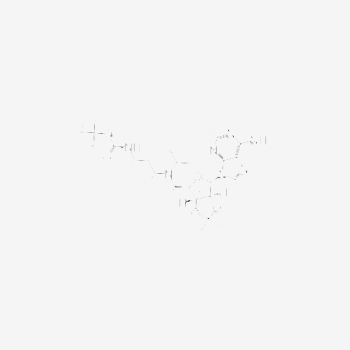 CC(C)N(CCCNC(=O)OC(C)(C)C)C[C@H]1O[C@@H](n2cnc3c(N)ncnc32)[C@@H]2OC(C)(C)O[C@@H]21